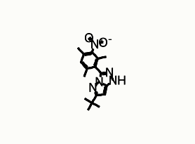 Cc1cc(C)c([N+](=O)[O-])c(C)c1-c1n[nH]c2cc(C(C)(C)C)nn12